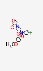 COc1ccc(S(=O)(=O)N(c2ccc(F)cc2)C2CCN(C3CCOCC3=O)CC2)cc1